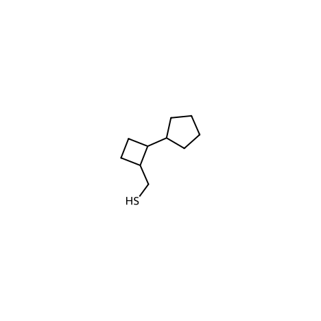 SCC1CCC1C1CCCC1